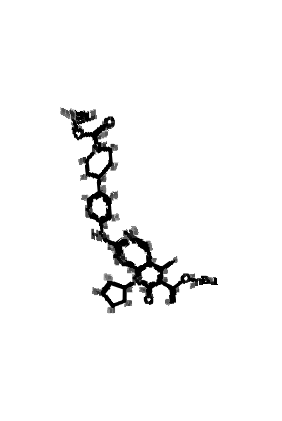 C=C(OCCCC)c1c(C)c2cnc(Nc3ccc(C4CCN(C(=O)OC(C)(C)C)CC4)cn3)nc2n(C2CCCC2)c1=O